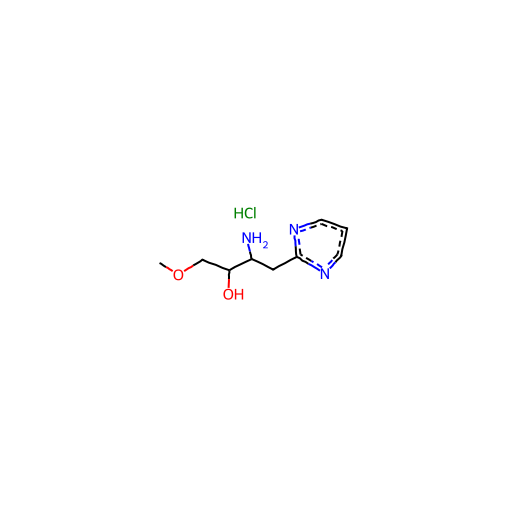 COCC(O)C(N)Cc1ncccn1.Cl